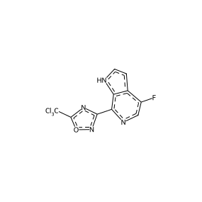 Fc1cnc(-c2noc(C(Cl)(Cl)Cl)n2)c2[nH]ccc12